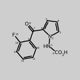 O=C(O)Nn1cccc1C(=O)c1ccccc1F